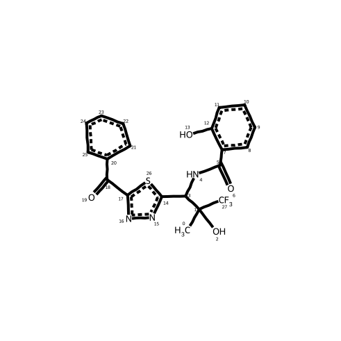 CC(O)(C(NC(=O)c1ccccc1O)c1nnc(C(=O)c2ccccc2)s1)C(F)(F)F